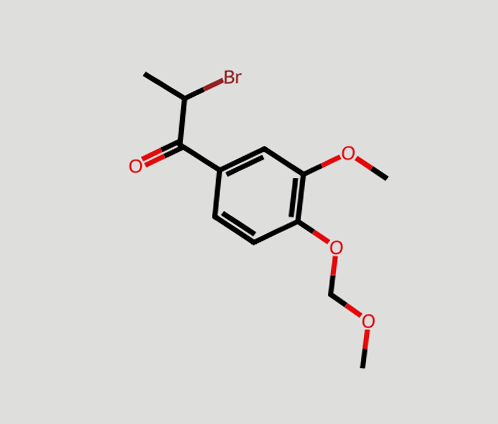 COCOc1ccc(C(=O)C(C)Br)cc1OC